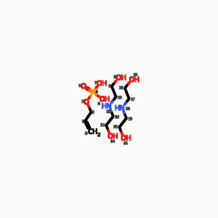 C=CCOP(=O)(O)O.OCCNCCO.OCCNCCO